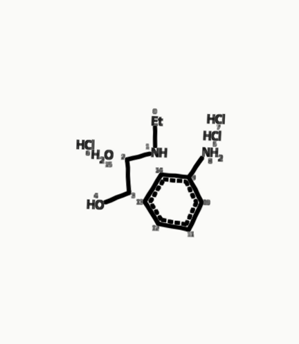 CCNCCO.Cl.Cl.Cl.Nc1ccccc1.O